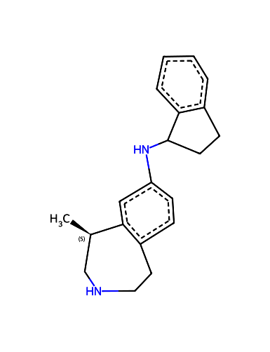 C[C@@H]1CNCCc2ccc(NC3CCc4ccccc43)cc21